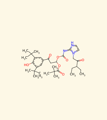 CCC(CC)C(=O)Cn1cc[nH]c1=NC(=O)OC(CC(=O)c1cc(C(C)(C)C)c(O)c(C(C)(C)C)c1)OC(=O)C(C)(C)C